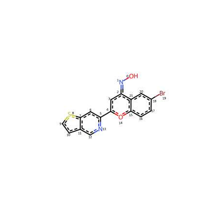 O/N=c1/cc(-c2cc3sccc3cn2)oc2ccc(Br)cc12